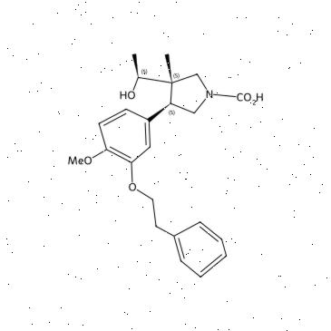 COc1ccc([C@@H]2CN(C(=O)O)C[C@@]2(C)[C@H](C)O)cc1OCCc1ccccc1